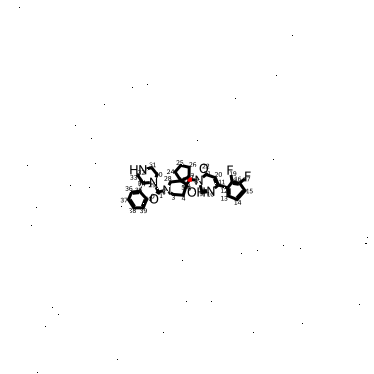 O=C(N1CC[C@@](O)(Cn2cnc(-c3cccc(F)c3F)cc2=O)C2(CCCC2)C1)N1CCNC[C@H]1c1ccccc1